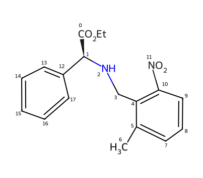 CCOC(=O)[C@@H](NCc1c(C)cccc1[N+](=O)[O-])c1ccccc1